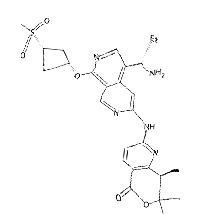 CC[C@H](N)c1cnc(O[C@H]2C[C@@H](S(C)(=O)=O)C2)c2cnc(Nc3ccc4c(n3)[C@@H](C)C(C)(C)OC4=O)cc12